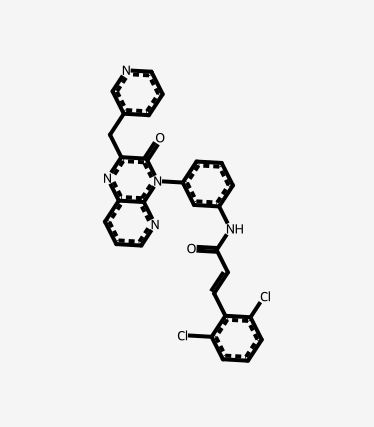 O=C(C=Cc1c(Cl)cccc1Cl)Nc1cccc(-n2c(=O)c(Cc3cccnc3)nc3cccnc32)c1